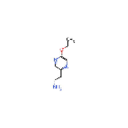 CCOc1cnc(CCN)cn1